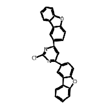 Clc1nc(-c2ccc3oc4ccccc4c3c2)cc(-c2ccc3oc4ccccc4c3c2)n1